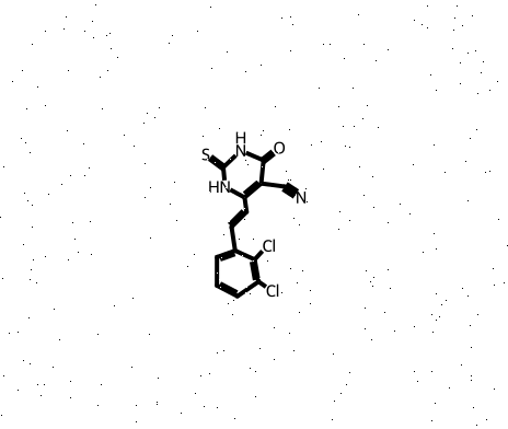 N#Cc1c(C=Cc2cccc(Cl)c2Cl)[nH]c(=S)[nH]c1=O